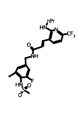 CCCNc1nc(C(F)(F)F)ccc1C=CC(=O)NCc1cc(C)c(NS(C)(=O)=O)c(F)c1